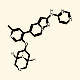 Cc1cc(-c2ccn3nc(Nc4ccncn4)cc3c2)c(OC2C[C@H]3COC[C@@H](C2)N3)cn1